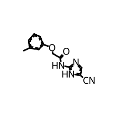 Cc1cccc(OCC(=O)Nc2ncc(C#N)[nH]2)c1